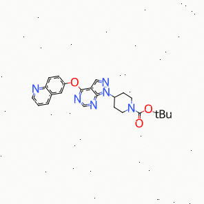 CC(C)(C)OC(=O)N1CCC(n2ncc3c(Oc4ccc5ncccc5c4)ncnc32)CC1